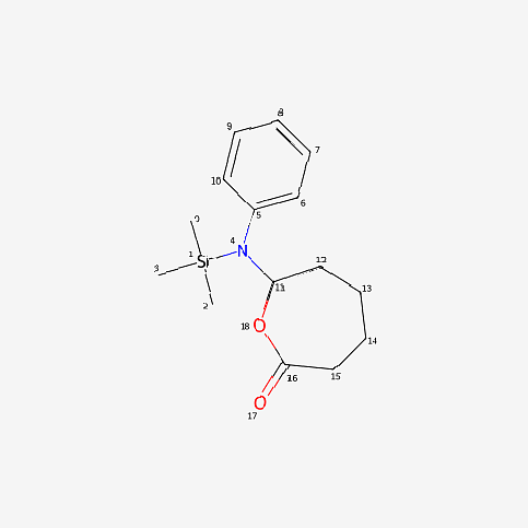 C[Si](C)(C)N(c1ccccc1)C1CCCCC(=O)O1